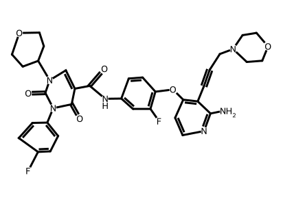 Nc1nccc(Oc2ccc(NC(=O)c3cn(C4CCOCC4)c(=O)n(-c4ccc(F)cc4)c3=O)cc2F)c1C#CCN1CCOCC1